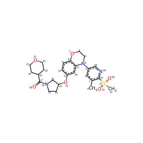 Cc1cc(N2CCOc3ccc(OC4CCN(C(=O)C5CCOCC5)C4)cc32)cnc1S(C)(=O)=O